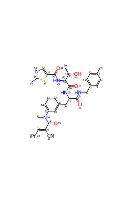 Cc1ccc(CNC(=O)C(Cc2cccc(N(C)C(=O)C(C#N)=CC(C)C)c2)NC(=O)[C@@H](NC(=O)c2cnc(C)s2)[C@@H](C)O)cc1